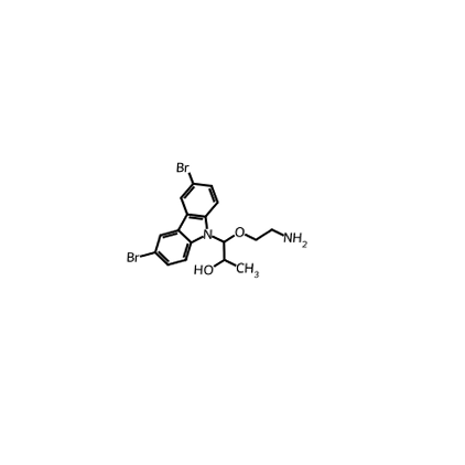 CC(O)C(OCCN)n1c2ccc(Br)cc2c2cc(Br)ccc21